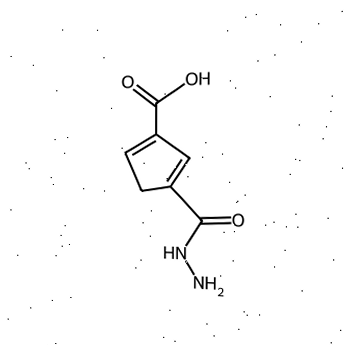 NNC(=O)C1=CC(C(=O)O)=CC1